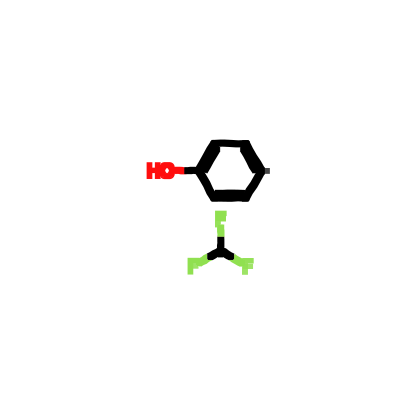 F[C](F)F.Oc1cc[c]cc1